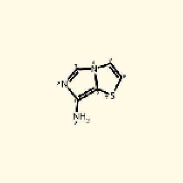 Nc1ncn2ccsc12